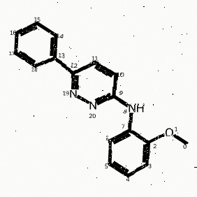 COc1ccccc1Nc1ccc(-c2ccccc2)nn1